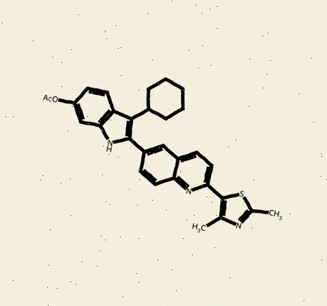 CC(=O)Oc1ccc2c(C3CCCCC3)c(-c3ccc4nc(-c5sc(C)nc5C)ccc4c3)[nH]c2c1